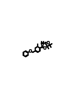 COC(C)(C)C(C)(C)OBC1=CC=C(COc2ccccc2)CC1C